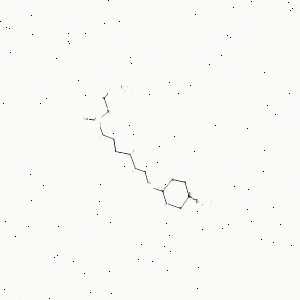 COCCN(C)CCCCCCOC1CCC(N)CC1